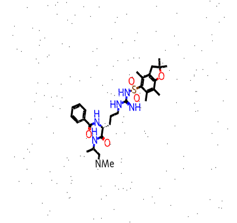 CNCC(C)NC(=O)[C@@H](CCCNC(=N)NS(=O)(=O)c1c(C)c(C)c2c(c1C)CC(C)(C)O2)NC(=O)c1ccccc1